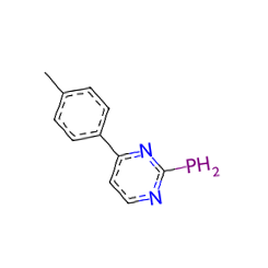 Cc1ccc(-c2ccnc(P)n2)cc1